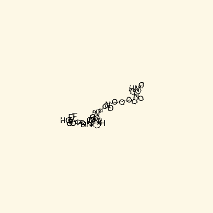 O=C1CCC(N2Cc3c(OCCOCCOCCn4ccc([C@@H]5CN(C(=O)[C@@H]6CC[C@@H]7CCCC[C@H](NC(=O)c8cc9cc(C(F)(F)P(=O)(O)O)ccc9s8)C(=O)N76)C6(CC6)C5)cc4=O)cccc3C2=O)C(=O)N1